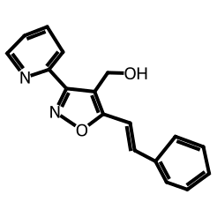 OCc1c(-c2ccccn2)noc1C=Cc1ccccc1